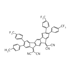 Cc1ccc(-c2cc3c(cc2-c2ccc(C(F)(F)F)cc2)-c2cc4c(cc2C3=C(C#N)C#N)C(=C(C#N)C#N)c2cc(-c3ccc(C(F)(F)F)cc3)c(-c3ccc(C(F)(F)F)cc3)cc2-4)cc1